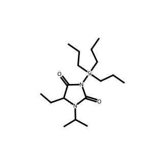 CCC[Si](CCC)(CCC)N1C(=O)C(CC)N(C(C)C)C1=O